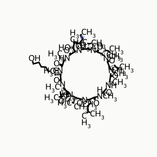 C/C=C/C[C@@H](C)[C@@H](O)[C@H]1C(=O)N[C@@H](CC)C(=O)N(C)[C@H](COCCCCCO)C(=O)N(C)[C@@H](CC(C)(C)O)C(=O)N[C@H](C(C)C)C(=O)N(C)[C@H](CCC(C)C)C(=O)N[C@H](C)C(=O)N[C@@H](C)C(=O)N(C)[C@@H](CC(C)C)C(=O)N(C)[C@@H](CC(C)C)C(=O)N(C)[C@@H](C(C)C)C(=O)N1C